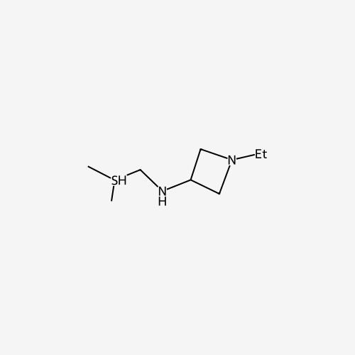 CCN1CC(NC[SH](C)C)C1